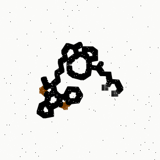 C=C(\C=C/C=C/C=C/C=c1\c(=C)sc2c3ccccc3c3sc4ccccc4c3c12)c1ccccccc(/C(C)=C/C=C(/C=C\CC)CC)c2ccccc12